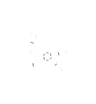 CCC(C)OC(=O)OC(C)CN[C@@H](Cc1ccc(OC(=O)OC(C)C)c(OC(=O)OC(C)C)c1)C(=O)O